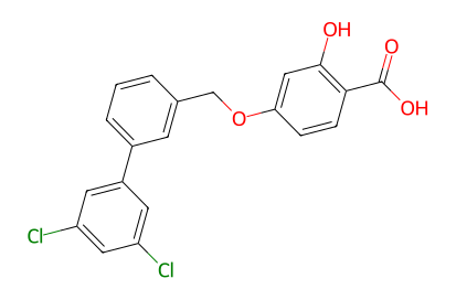 O=C(O)c1ccc(OCc2cccc(-c3cc(Cl)cc(Cl)c3)c2)cc1O